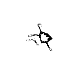 Nc1ccc(Cl)cc1Cl.O=CO